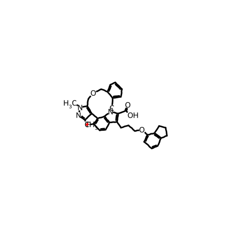 Cc1nn(C)c2c1-c1c(F)ccc3c(CCCOc4cccc5c4CCC5)c(C(=O)O)n(c13)Cc1ccccc1COC2